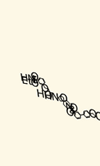 CCNS(=O)(=O)c1cccc(OC[C@@H](O)CNC2COC3(CCN(S(=O)(=O)c4cccc(-c5ccc(OCC#N)cc5)c4)CC3)C2)c1